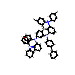 Cc1ccc(N2c3ccc(C)cc3B3c4ccc(N(c5ccccc5)c5cccc6c7ccccc7n(-c7ccccc7)c56)cc4N(c4ccc(-c5ccccc5)cc4)c4cccc2c43)cc1